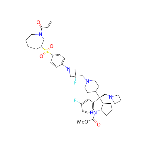 C=CC(=O)N1CCCC[C@H](S(=O)(=O)c2ccc(N3CC(F)(CN4CCC([C@@](CN5CCC5)(c5cccc(F)c5)[C@H]5CCC[C@@H]5NC(=O)OC)CC4)C3)cc2)C1